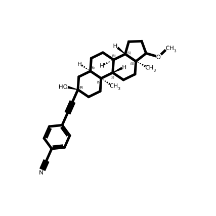 COC1CC[C@H]2[C@@H]3CC[C@@H]4C[C@@](O)(C#Cc5ccc(C#N)cc5)CC[C@]4(C)[C@H]3CC[C@]12C